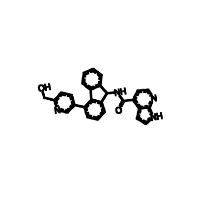 O=C(NC1c2ccccc2-c2c(-c3ccc(CO)nc3)cccc21)c1ccnc2[nH]ccc12